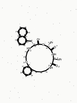 CCC[C@@H]1NC(=O)[C@@H](C(C)C)OC(=O)[C@@H](Cc2cccc3ccccc23)NCCOc2ccccc2CCCNC1=O